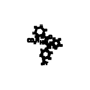 CC(C)c1ccc([C@@H](NC(=O)[C@@H]2CCCC[C@@H]2C(=O)O)c2cccs2)cc1